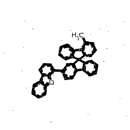 Cc1cccc2c1-c1ccccc1C21c2ccccc2-c2ccc(-c3cccc4c3oc3ccccc34)cc21